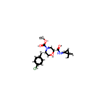 CC(C)(C)OC(=O)N1C[C@H](C(=O)NC2CC2(C)C)OC[C@@H]1Cc1ccc(Cl)cc1